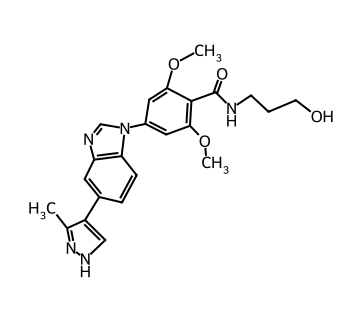 COc1cc(-n2cnc3cc(-c4c[nH]nc4C)ccc32)cc(OC)c1C(=O)NCCCO